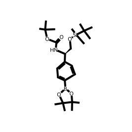 CC(C)(C)OC(=O)N[C@@H](CO[Si](C)(C)C(C)(C)C)c1ccc(B2OC(C)(C)C(C)(C)O2)cc1